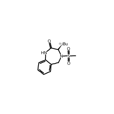 CC[C@H](C)C1C(=O)Nc2ccccc2CN1S(C)(=O)=O